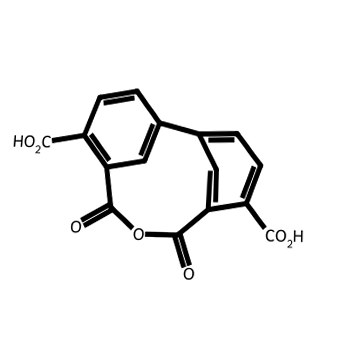 O=C(O)c1ccc2cc1C(=O)OC(=O)c1cc-2ccc1C(=O)O